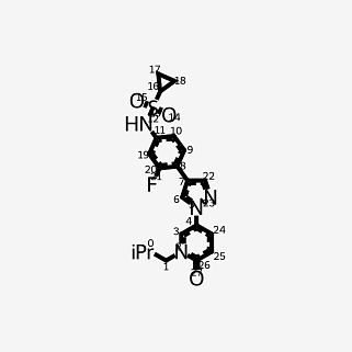 CC(C)Cn1cc(-n2cc(-c3ccc(NS(=O)(=O)C4CC4)cc3F)cn2)ccc1=O